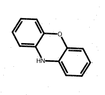 [c]1ccc2c(c1)Oc1ccccc1N2